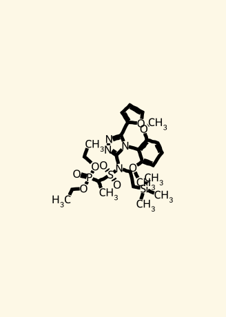 CCOP(=O)(OCC)C(C)S(=O)(=O)N(CC[Si](C)(C)C)c1nnc(-c2ccco2)n1-c1c(OC)cccc1OC